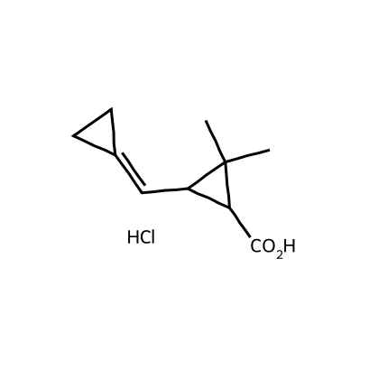 CC1(C)C(C=C2CC2)C1C(=O)O.Cl